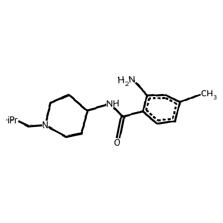 C[C](C)CN1CCC(NC(=O)c2ccc(C)cc2N)CC1